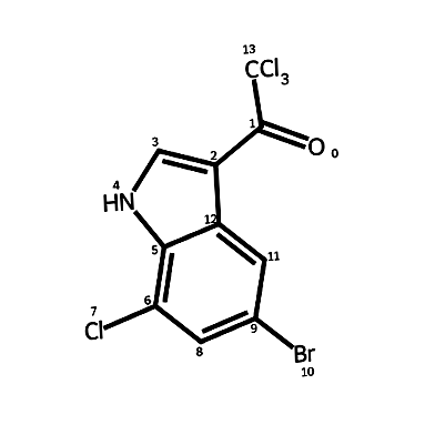 O=C(c1c[nH]c2c(Cl)cc(Br)cc12)C(Cl)(Cl)Cl